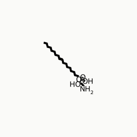 CCCCCCCCC=CCCCCCCCCOP(=O)(O)C(O)CN